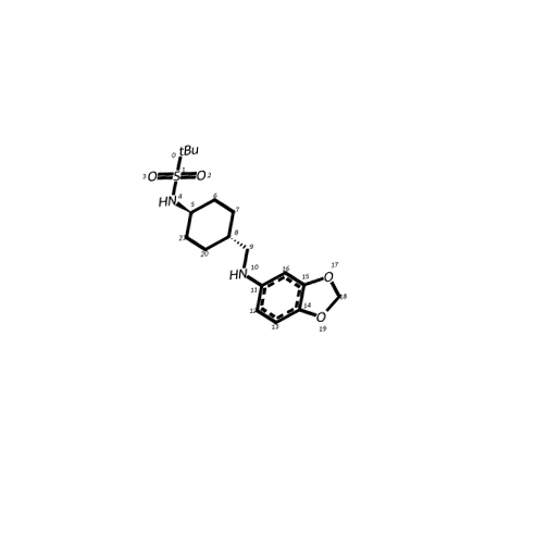 CC(C)(C)S(=O)(=O)N[C@H]1CC[C@H](CNc2ccc3c(c2)OCO3)CC1